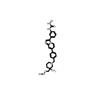 CCNC(=O)Nc1cccc(-c2cnc3cc(-c4ccc(CN5CCCC(C)(COOCC)C5)cc4)ccn23)c1